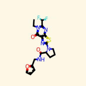 CCn1c(C(F)F)nc2sc(N3CCCC3C(=O)NCc3ccco3)nc2c1=O